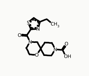 CCc1csc(C(=O)N2CCOC3(CCN(C(=O)O)CC3)C2)n1